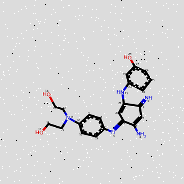 N=C1C=C(N)C(=Nc2ccc(N(CCO)CCO)cc2)C=C1Nc1cccc(O)c1